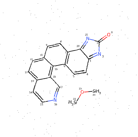 O=C1N=c2ccc3c(ccc4ccc5ccncc5c43)c2=N1.[SiH3]O[SiH3]